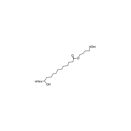 CCCCCCCCCCCCCCOC(=O)CCCCCCCCCCC(O)CCCCCC